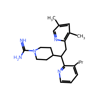 Cc1cnc(CC(c2ncccc2C(C)C)C2CCN(C(=N)N)CC2)c(C)c1